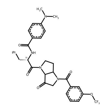 CC(C)C[C@H](NC(=O)c1ccc(N(C)C)cc1)C(=O)N1CCC2C1C(=O)CN2C(=O)c1cccc(OC(F)(F)F)c1